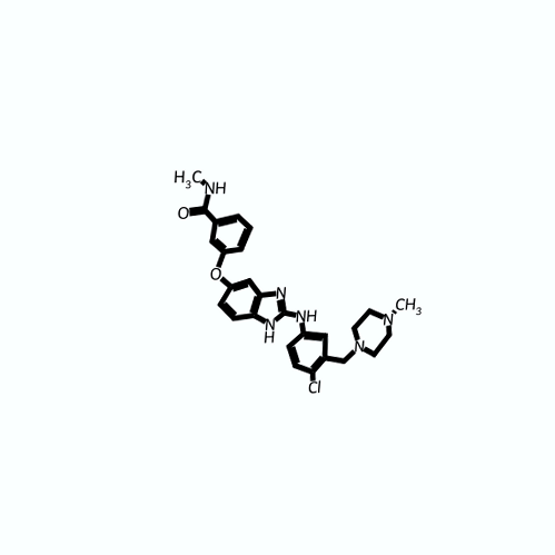 CNC(=O)c1cccc(Oc2ccc3[nH]c(Nc4ccc(Cl)c(CN5CCN(C)CC5)c4)nc3c2)c1